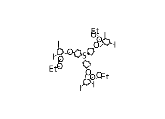 CCOCOc1c(I)cc(I)cc1COc1ccc([S+](c2ccc(OCc3cc(I)cc(I)c3OCOCC)cc2)c2ccc(OCc3cc(I)cc(I)c3OCOCC)cc2)cc1